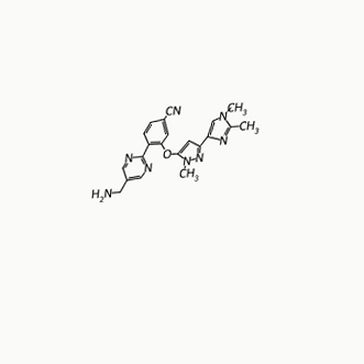 Cc1nc(-c2cc(Oc3cc(C#N)ccc3-c3ncc(CN)cn3)n(C)n2)cn1C